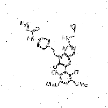 C=CC(=O)Nc1ccc(CCn2c(=O)c(-c3c(Cl)c(OC)cc(OC)c3Cl)cc3cnc(NCC4CC4)nc32)cc1